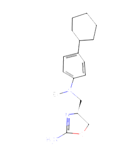 CCN(C[C@H]1COC(N)=N1)c1ccc(C2CCCCC2)cc1